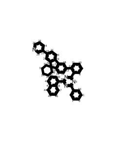 c1ccc(-c2nc(-c3ccccc3-c3ccc4c(c3)-c3ccc(-c5cccnc5)cc3C43CCCCC3)nc(-c3cccc4ccccc34)n2)cc1